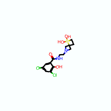 O=C(NCCN1CC2(CCS2(O)O)C1)c1cc(Cl)cc(Cl)c1O